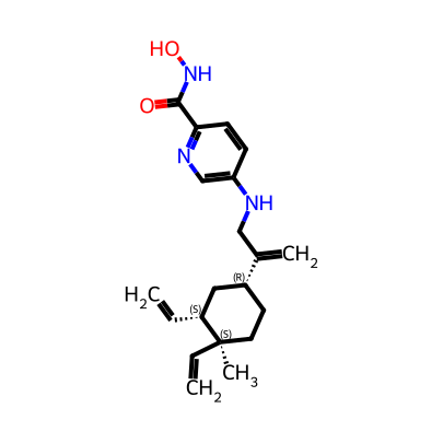 C=C[C@@H]1C[C@H](C(=C)CNc2ccc(C(=O)NO)nc2)CC[C@@]1(C)C=C